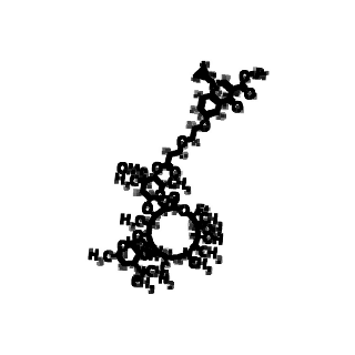 CC[C@H]1OC(=O)[C@H](C)[C@@H](O[C@H]2C[C@@](C)(OC)[C@@H](OC(=O)CCOCCOc3ccc4c(c3)c(=O)c(C(=O)OC(C)C)cn4C3CC3)[C@H](C)O2)[C@H](C)[C@@H](O[C@@H]2O[C@H](C)C[C@H](N(C)C)[C@@H]2O)[C@](C)(O)C[C@@H](C)CN(C)[C@H](C)[C@@H](O)[C@]1(C)O